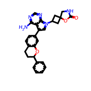 Nc1ncnc2c1c(-c1ccc3c(c1)OC(c1ccccc1)CC3)cn2C1CC2(CNC(=O)O2)C1